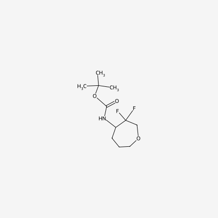 CC(C)(C)OC(=O)NC1CCCOCC1(F)F